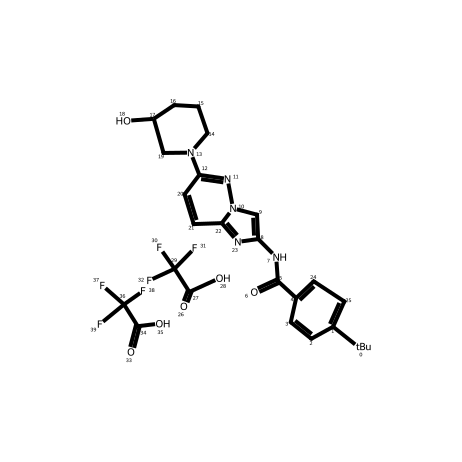 CC(C)(C)c1ccc(C(=O)Nc2cn3nc(N4CCCC(O)C4)ccc3n2)cc1.O=C(O)C(F)(F)F.O=C(O)C(F)(F)F